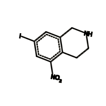 O=[N+]([O-])c1cc(I)cc2c1CCNC2